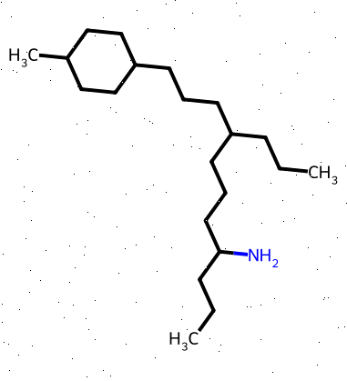 CCCC(N)CCCC(CCC)CCCC1CCC(C)CC1